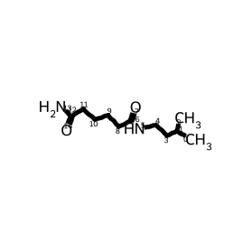 CC(C)CCNC(=O)CCCCC(N)=O